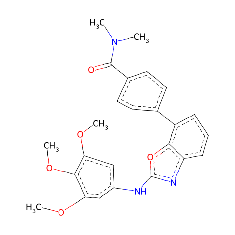 COc1cc(Nc2nc3cccc(-c4ccc(C(=O)N(C)C)cc4)c3o2)cc(OC)c1OC